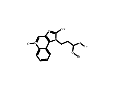 CCCc1nc2c[n+]([O-])c3ccccc3c2n1CCC(OCC)OCC